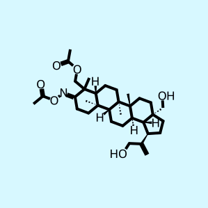 C=C(CO)[C@@H]1CC[C@]2(CO)CC[C@]3(C)[C@H](CC[C@@H]4[C@@]5(C)CCC(=NOC(C)=O)C(C)(COC(C)=O)[C@@H]5CC[C@]43C)[C@@H]12